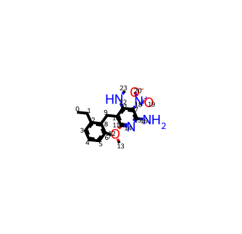 CCc1cccc(C)c1Cc1c(OC)nc(N)c([N+](=O)[O-])c1NC